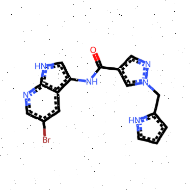 O=C(Nc1c[nH]c2ncc(Br)cc12)c1cnn(Cc2ccc[nH]2)c1